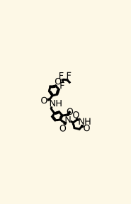 CC(F)C(F)(F)Oc1ccc(C(=O)NCc2ccc3c(c2)C(=O)N(C2CCC(=O)NC2=O)C3=O)cc1